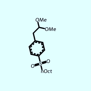 CCCCCCCCS(=O)(=O)c1ccc(CC(OC)OC)cc1